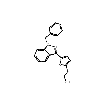 OCCc1ccc(-c2nn(Cc3ccccc3)c3ccccc23)o1